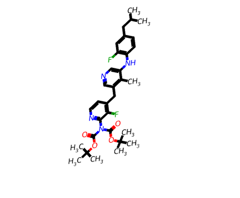 Cc1c(Cc2ccnc(N(C(=O)OC(C)(C)C)C(=O)OC(C)(C)C)c2F)cncc1Nc1ccc(CC(C)C)cc1F